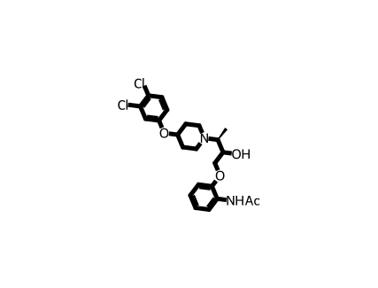 CC(=O)Nc1ccccc1OCC(O)[C@H](C)N1CCC(Oc2ccc(Cl)c(Cl)c2)CC1